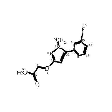 Cn1nc(OCC(=O)O)cc1-c1cccc(F)c1